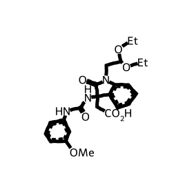 CCOC(CN1C(=O)C(CC(=O)O)(NC(=O)Nc2cccc(OC)c2)c2ccccc21)OCC